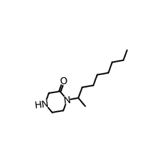 CCCCCCCC(C)N1CCNCC1=O